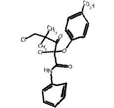 CC(C)(CCl)C(=O)C(Cl)(Oc1ccc(C(=O)O)cc1)C(=O)Nc1ccccc1